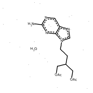 CC(=O)OCC(CCn1cnc2cnc(N)nc21)COC(C)=O.O